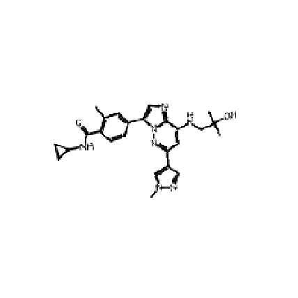 Cc1cc(-c2cnc3c(NCC(C)(C)O)cc(-c4cnn(C)c4)nn23)ccc1C(=O)NC1CC1